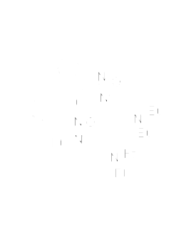 CCC(c1ccccc1)c1noc(CCN(CC)CC)n1.CCC(c1ccccc1)c1noc(CCN(CC)CC)n1